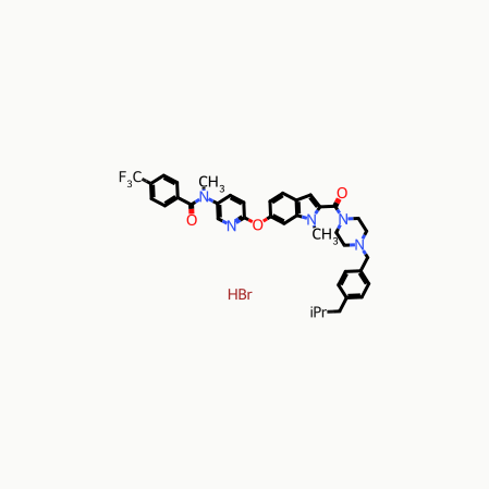 Br.CC(C)Cc1ccc(CN2CCN(C(=O)c3cc4ccc(Oc5ccc(N(C)C(=O)c6ccc(C(F)(F)F)cc6)cn5)cc4n3C)CC2)cc1